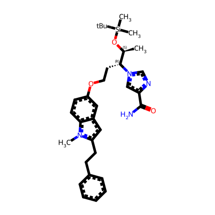 C[C@H](O[Si](C)(C)C(C)(C)C)[C@@H](CCOc1ccc2c(c1)cc(CCc1ccccc1)n2C)n1cnc(C(N)=O)c1